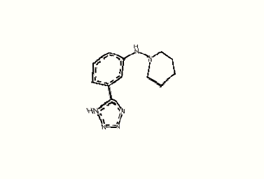 c1cc(NN2CCCCC2)cc(-c2nnn[nH]2)c1